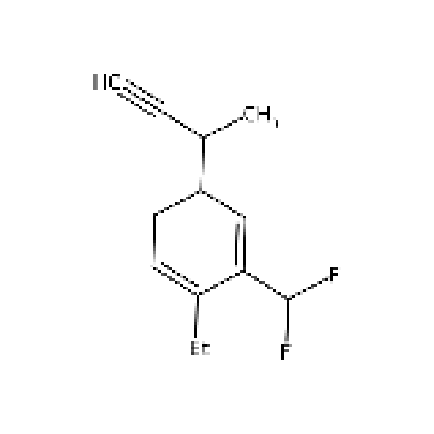 C#CC(C)C1C=C(C(F)F)C(CC)=CC1